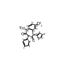 CCN1C(=O)C(c2ccccc2)C(=O)N(c2cccs2)c2cc(C(F)(F)F)ccc21